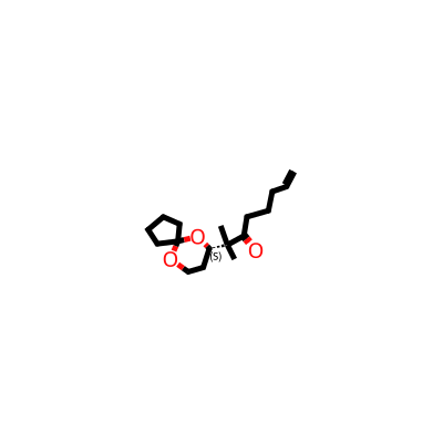 C=CCCCC(=O)C(C)(C)[C@@H]1CCOC2(CCCC2)O1